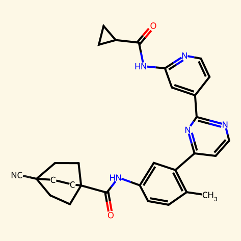 Cc1ccc(NC(=O)C23CCC(C#N)(CC2)CC3)cc1-c1ccnc(-c2ccnc(NC(=O)C3CC3)c2)n1